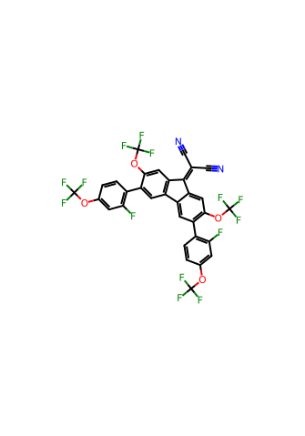 N#CC(C#N)=C1c2cc(OC(F)(F)F)c(-c3ccc(OC(F)(F)F)cc3F)cc2-c2cc(-c3ccc(OC(F)(F)F)cc3F)c(OC(F)(F)F)cc21